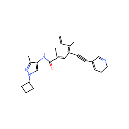 C=C/C(C)=C(C#CC1=CCCN=C1)\C=C(/C)C(=O)Nc1cn(C2CCC2)nc1C